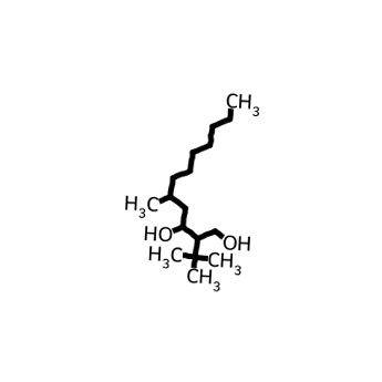 CCCCCCCC(C)CC(O)C(CO)C(C)(C)C